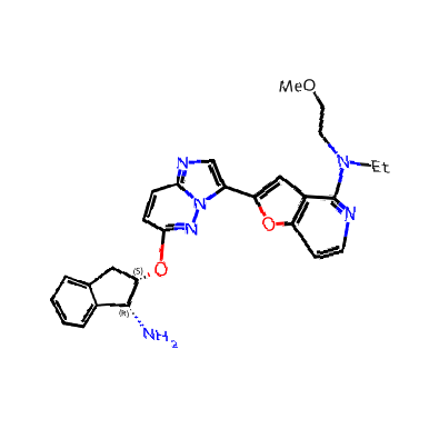 CCN(CCOC)c1nccc2oc(-c3cnc4ccc(O[C@H]5Cc6ccccc6[C@H]5N)nn34)cc12